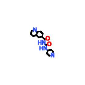 O=C(NC(=O)c1ccc2ncccc2c1)Nc1ccncc1